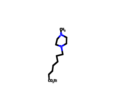 CCOC(=O)CCCCCCN1CCN(C)CC1